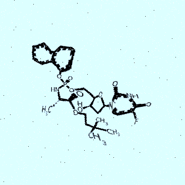 C[C@H](NP(=O)(OCC1O[C@@H](n2cc(F)c(=O)[nH]c2=O)C[C@H]1O)Oc1cccc2ccccc12)C(=O)OCCC(C)(C)C